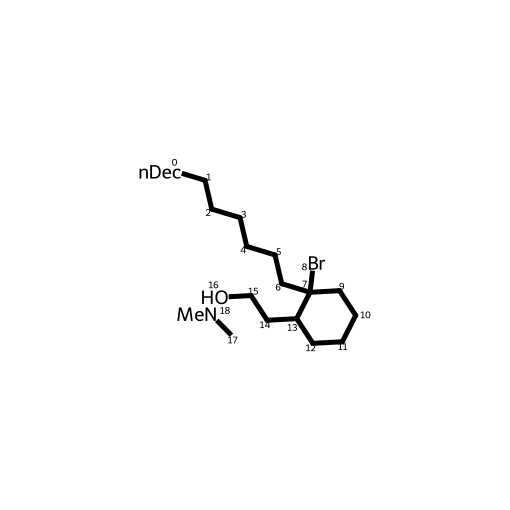 CCCCCCCCCCCCCCCCC1(Br)CCCCC1CCO.CNC